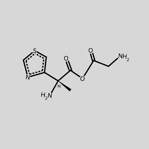 C[C@](N)(C(=O)OC(=O)CN)c1cscn1